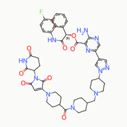 Nc1ncc(-c2cnn(C3CCN(CC4CCN(C(=O)C5CCN(C6=CC(=O)N(C7CCC(=O)NC7=O)C6=O)CC5)CC4)CC3)c2)nc1C(=O)O[C@@H](C(=O)Nc1ccc(F)cc1)c1ccccc1